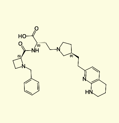 O=C(O)[C@H](CCN1CC[C@@H](CCc2ccc3c(n2)NCCC3)C1)NC(=O)[C@@H]1CCN1Cc1ccccc1